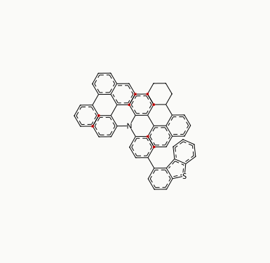 c1ccc(-c2cccc3cccc(-c4ccccc4N(c4ccc(-c5cccc6sc7ccccc7c56)cc4)c4ccccc4-c4cccc5cccc(C6CCCCC6)c45)c23)cc1